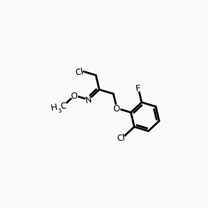 CON=C(CCl)COc1c(F)cccc1Cl